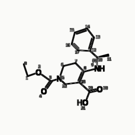 CCOC(=O)N1CCC(N[C@H](C)c2ccccc2)=C(C(=O)O)C1